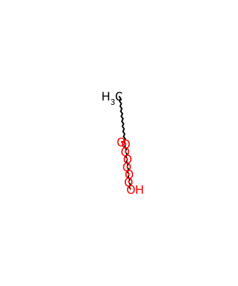 CCCCCCCCCCCCCCCCCCC(=O)OCCOCCOCCOCCOCCOCCO